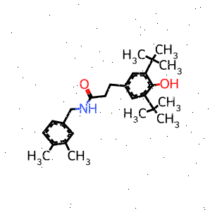 Cc1ccc(CNC(=O)CCc2cc(C(C)(C)C)c(O)c(C(C)(C)C)c2)cc1C